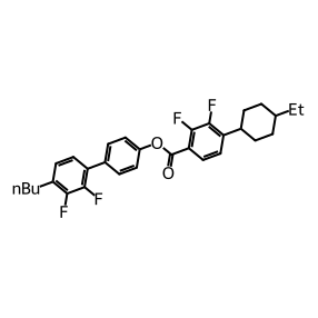 CCCCc1ccc(-c2ccc(OC(=O)c3ccc(C4CCC(CC)CC4)c(F)c3F)cc2)c(F)c1F